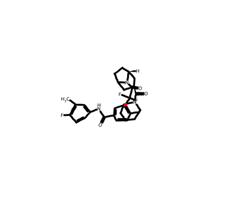 Cc1cc(NC(=O)c2ccc(F)c(C(F)(F)C(=O)N3C4CC[C@@H]3C[C@@H](C(=O)N3CCOCC3)C4)c2)ccc1F